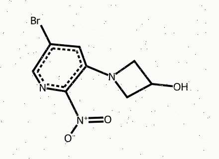 O=[N+]([O-])c1ncc(Br)cc1N1CC(O)C1